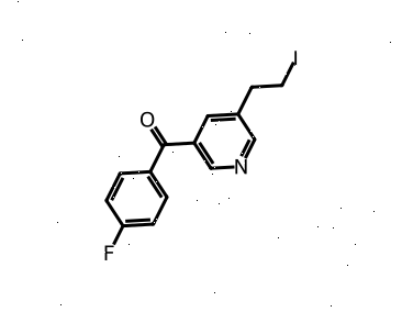 O=C(c1ccc(F)cc1)c1cncc(CCI)c1